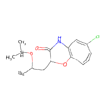 C[SiH](C)OC(CC1Oc2ccc(Cl)cc2NC1=O)C(C)(C)C